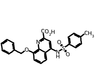 Cc1ccc(S(=O)(=O)Nc2cc(C(=O)O)nc3c(OCc4ccccc4)cccc23)cc1